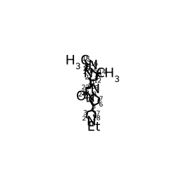 CCN1CCC(c2ccc3nc(-c4cc(C)c5nc(C)cn5c4)cc(=O)n3c2)CC1